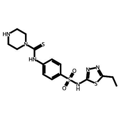 CCc1nnc(NS(=O)(=O)c2ccc(NC(=S)N3CCNCC3)cc2)s1